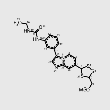 COCC1SSC(c2ccn3c(-c4cccc(NC(=O)NCC(F)(F)F)c4)cnc3c2)S1